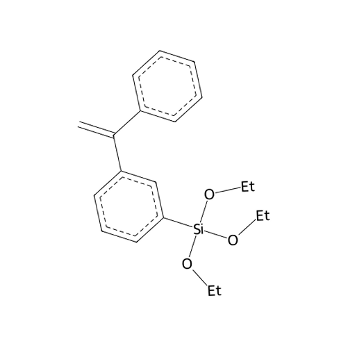 C=C(c1ccccc1)c1cccc([Si](OCC)(OCC)OCC)c1